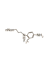 CCCCCCCCCCCCNc1ccc(N)cc1C(F)(F)F